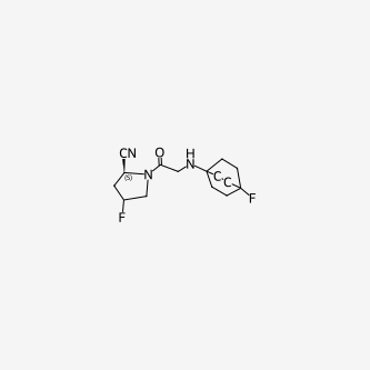 N#C[C@@H]1CC(F)CN1C(=O)CNC12CCC(F)(CC1)CC2